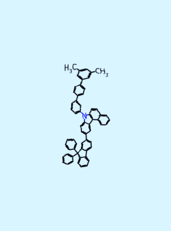 Cc1cc(C)cc(-c2ccc(-c3cccc(-n4c5ccc(-c6ccc7c(c6)C(c6ccccc6)(c6ccccc6)c6ccccc6-7)cc5c5c6ccccc6ccc54)c3)cc2)c1